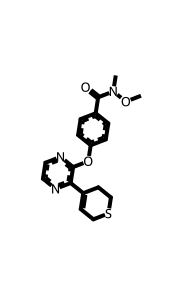 CON(C)C(=O)c1ccc(Oc2nccnc2C2=CCSCC2)cc1